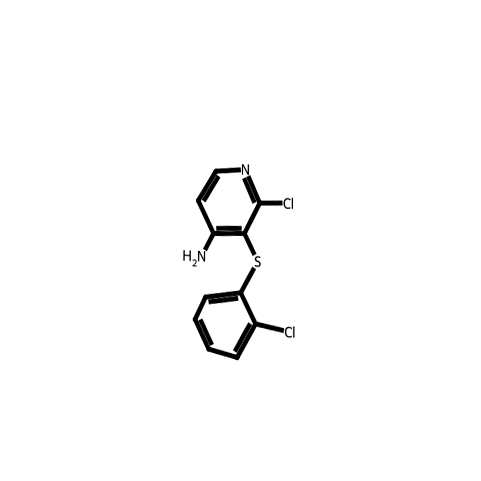 Nc1ccnc(Cl)c1Sc1ccccc1Cl